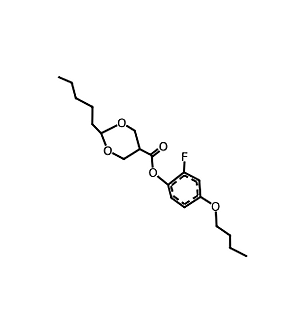 CCCCCC1OCC(C(=O)Oc2ccc(OCCCC)cc2F)CO1